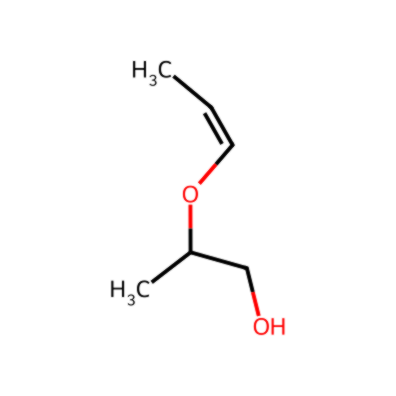 C/C=C\OC(C)CO